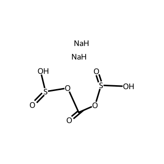 O=C(OS(=O)O)OS(=O)O.[NaH].[NaH]